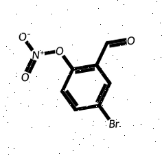 O=Cc1cc(Br)ccc1O[N+](=O)[O-]